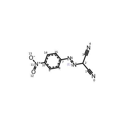 N#CC(C#N)/N=N/c1ccc([N+](=O)[O-])cc1